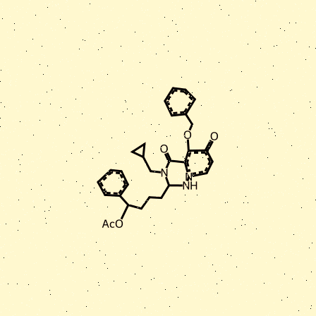 CC(=O)OC(CCCC1Nn2ccc(=O)c(OCc3ccccc3)c2C(=O)N1CC1CC1)c1ccccc1